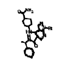 CCn1ncc2c(NC3CCC(C(N)=O)CC3)c(C(=O)N[C@H](C)c3ccccc3)cnc21